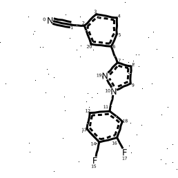 N#Cc1cccc(-c2ccn(-c3ccc(F)c(F)c3)n2)c1